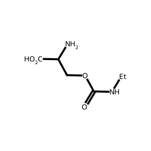 [CH2]CNC(=O)OCC(N)C(=O)O